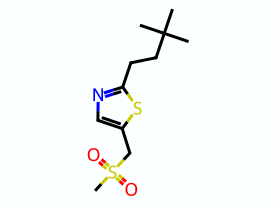 CC(C)(C)CCc1ncc(CS(C)(=O)=O)s1